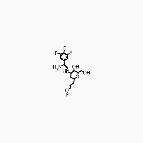 N/C(=C\NC1CC(CCCOF)OC(CO)C1O)c1cc(F)c(F)c(F)c1